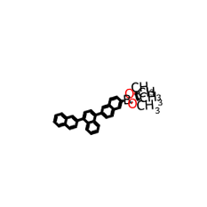 CC1(C)OB(c2ccc3cc(-c4ccc(-c5ccc6ccccc6c5)c5ccccc45)ccc3c2)OC1(C)C